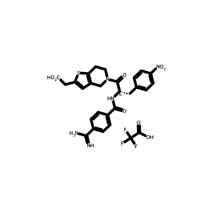 N=C(N)c1ccc(C(=O)N[C@@H](Cc2ccc([N+](=O)[O-])cc2)C(=O)N2CCc3sc(CC(=O)O)cc3C2)cc1.O=C(O)C(F)(F)F